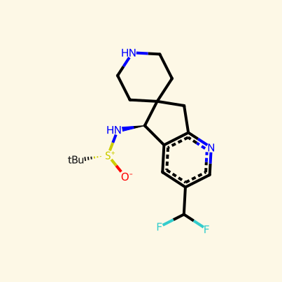 CC(C)(C)[S@@+]([O-])N[C@@H]1c2cc(C(F)F)cnc2CC12CCNCC2